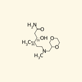 C[C@H](CCN(C)CC1COCCO1)[C@@H](O)CC(N)=O